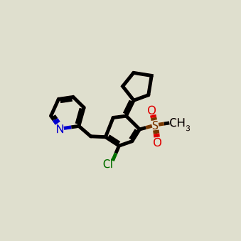 CS(=O)(=O)C1=CC(Cl)=C(Cc2ccccn2)CC1=C1CCCC1